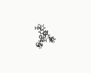 C[C@H]1CCc2c(ccc3c2nc(CCn2cccn2)n3CC(=O)NCc2ncco2)N1